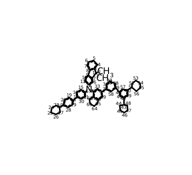 CC1(C)c2ccccc2-c2ccc(N(c3ccc(-c4ccc(C5CCCCC5)cc4)cc3)c3cc(-c4cccc(-c5cc(C6CCCCC6)cc(C6CCCCC6)c5)c4)cc4c3CCCC4)cc21